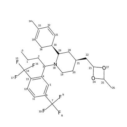 CCCC(c1cc(C(F)(F)F)ccc1C(F)(F)F)N1CC[C@H](CC2OC(C)O2)CC1[C@@H]1C=CC(C)=CC1